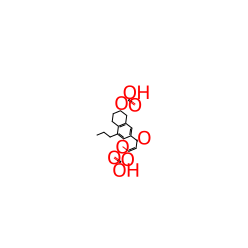 CCCc1c2c(cc3c(=O)cc(OC(=O)O)oc13)CC(OC(=O)O)CC2